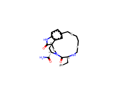 CC(C)C[C@@H]1NCCCCCCc2ccc3c(c2)[C@@]2(C[C@@H](C(N)=O)N(C2)C1=O)C(=O)N3